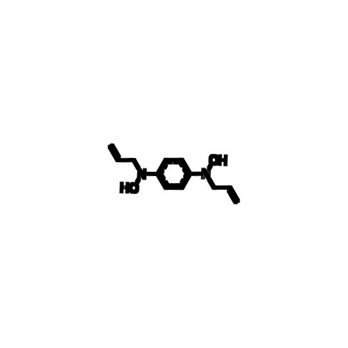 C=CCN(O)c1ccc(N(O)CC=C)cc1